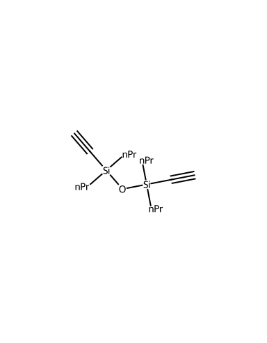 C#C[Si](CCC)(CCC)O[Si](C#C)(CCC)CCC